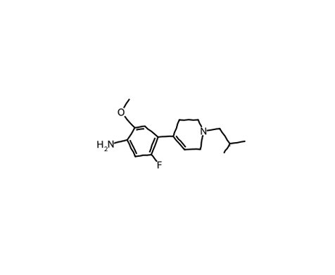 COc1cc(C2=CCN(C[C](C)C)CC2)c(F)cc1N